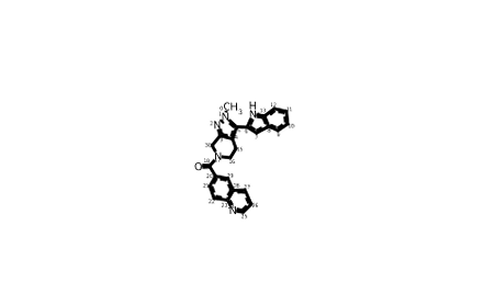 Cn1nc2c(c1-c1cc3ccccc3[nH]1)CCN(C(=O)c1ccc3ncccc3c1)C2